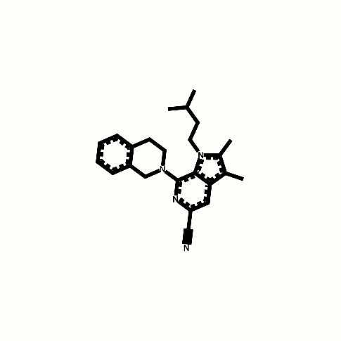 Cc1c(C)n(CCC(C)C)c2c(N3CCc4ccccc4C3)nc(C#N)cc12